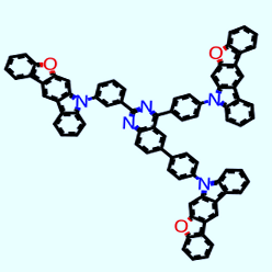 c1cc(-c2nc(-c3ccc(-n4c5ccccc5c5cc6c(cc54)oc4ccccc46)cc3)c3cc(-c4ccc(-n5c6ccccc6c6cc7c(cc65)oc5ccccc57)cc4)ccc3n2)cc(-n2c3ccccc3c3cc4c(cc32)oc2ccccc24)c1